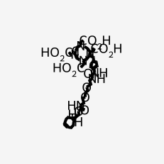 O=C(O)CN1CCN(CC(=O)O)CCN(CC(=O)O)C(Cc2ccc(NC(=O)NCCOCCOCCNC(=O)OCC3[C@H]4CCC#CCC[C@@H]34)cc2)CN(CC(=O)O)CC1